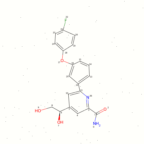 NC(=O)c1cc([C@@H](O)CO)cc(-c2cccc(Oc3ccc(F)cc3)c2)n1